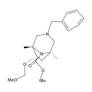 COCO[C@H]1C[C@]2(C)CN(Cc3ccccc3)C[C@]1(C)N2C(=O)OC(C)(C)C